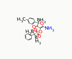 BC1(c2ccc(C)cc2)OC(N)=C(OS(=O)(=O)C(B)(B)c2ccccc2)C1=O